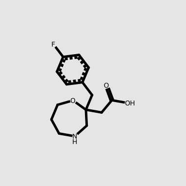 O=C(O)CC1(Cc2ccc(F)cc2)CNCCCO1